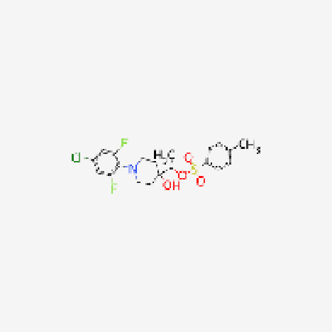 Cc1ccc(S(=O)(=O)OC(C)C2(O)CCN(c3c(F)cc(Cl)cc3F)CC2)cc1